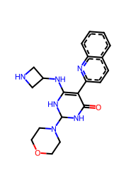 O=C1NC(N2CCOCC2)NC(NC2CNC2)=C1c1ccc2ccccc2n1